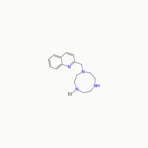 CCN1CCNCCN(Cc2ccc3ccccc3n2)CC1